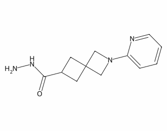 NNC(=O)C1CC2(C1)CN(c1ccccn1)C2